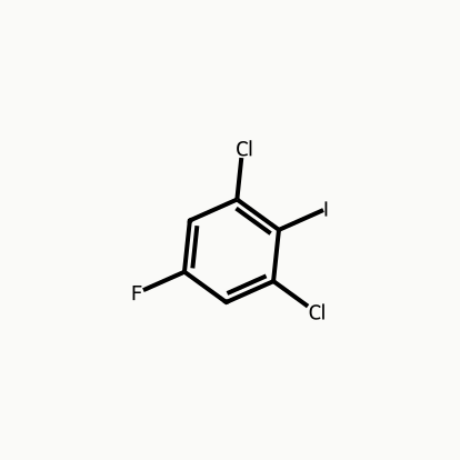 Fc1cc(Cl)c(I)c(Cl)c1